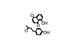 CC(=O)CCc1ccc(O)cc1.O=C1C=CC(=O)c2c(O)cccc21